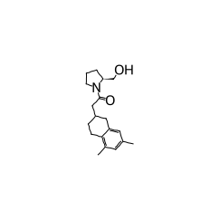 Cc1cc(C)c2c(c1)CC(CC(=O)N1CCC[C@H]1CO)CC2